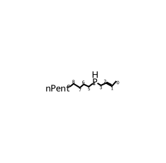 CC=CCPCCCCCCCCC